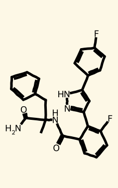 CC(Cc1ccccc1)(NC(=O)c1cccc(F)c1-c1cc(-c2ccc(F)cc2)[nH]n1)C(N)=O